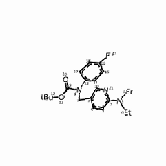 CCN(CC)c1ccc(CN(C(=O)OC(C)(C)C)c2ccc(F)cc2)cn1